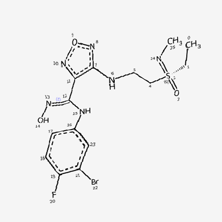 CC[S@](=O)(CCNc1nonc1/C(=N/O)Nc1ccc(F)c(Br)c1)=NC